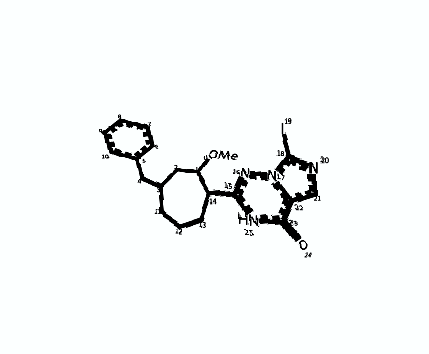 COC1CC(Cc2ccccc2)CCCC1c1nn2c(I)ncc2c(=O)[nH]1